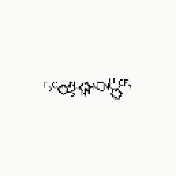 O=C(c1ccccc1C(F)(F)F)N1CCN(c2ccc(-c3nc4cc(C(F)(F)F)ccc4s3)nn2)CC1